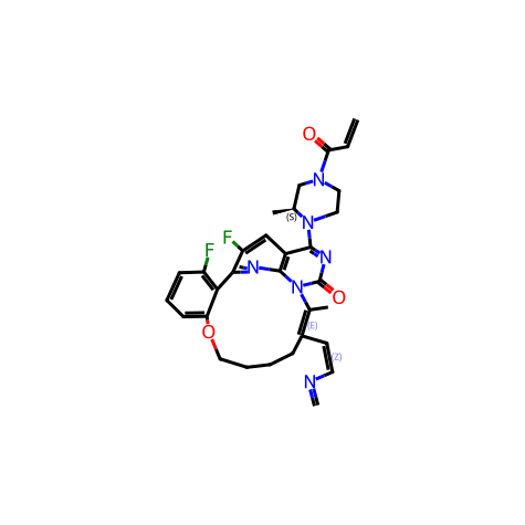 C=CC(=O)N1CCN(c2nc(=O)n3c4nc(c(F)cc24)-c2c(F)cccc2OCCCCC(/C=C\N=C)=C\3C)[C@@H](C)C1